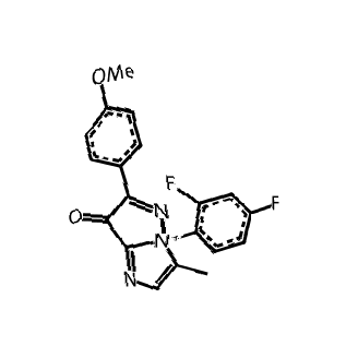 COc1ccc(C2=N[N+]3(c4ccc(F)cc4F)C(C)=CN=C3C2=O)cc1